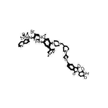 COc1cc(N2CCN(CC3CCN(C4CN(c5ccc6c(c5)C(=O)N(C5CCC(=O)NC5=O)C6=O)C4)CC3)CC2)c(-c2cnn(C)c2)cc1Nc1ncc(Br)c(Nc2ccc3ncccc3c2P(=O)(OC)OC)n1